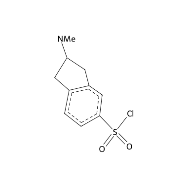 CNC1Cc2ccc(S(=O)(=O)Cl)cc2C1